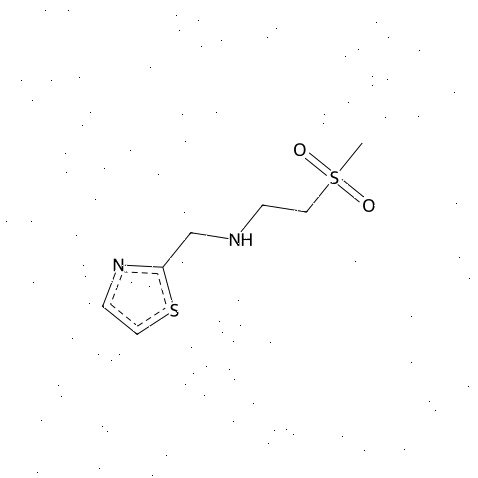 CS(=O)(=O)CCNCc1nccs1